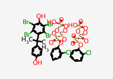 CC(C)(c1ccc(O)cc1)c1c(Br)c(Br)c(O)c(Br)c1Br.O=S(=O)(O)OS(=O)(=O)S(=O)(=O)Oc1ccccc1Cl.O=S(=O)(O)OS(=O)(=O)S(=O)(=O)Oc1ccccc1Cl